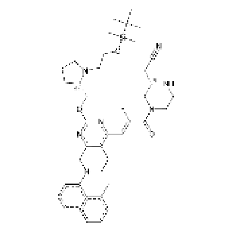 Cc1cccc2cccc(N3CCc4c(C=C(F)C(=O)N5CCN[C@@H](CC#N)C5)nc(OC[C@@H]5CCCN5CCO[Si](C)(C)C(C)(C)C)nc4C3)c12